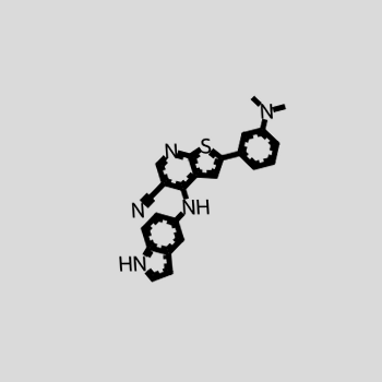 CN(C)c1cccc(-c2cc3c(Nc4ccc5[nH]ccc5c4)c(C#N)cnc3s2)c1